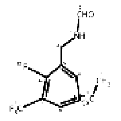 CC(=O)O.O=CNCc1cccc(C(F)(F)F)c1F